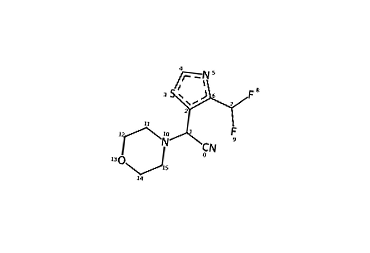 N#CC(c1scnc1C(F)F)N1CCOCC1